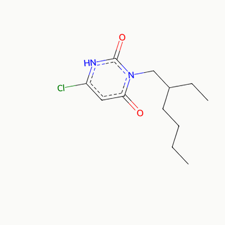 CCCCC(CC)Cn1c(=O)cc(Cl)[nH]c1=O